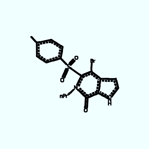 CCCn1c(S(=O)(=O)c2ccc(C)cc2)c(Br)c2cc[nH]c2c1=O